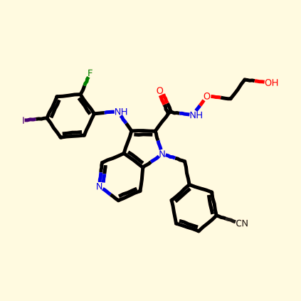 N#Cc1cccc(Cn2c(C(=O)NOCCO)c(Nc3ccc(I)cc3F)c3cnccc32)c1